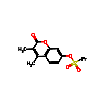 Cc1c(C)c2ccc(OS(=O)(=O)C(C)C)cc2oc1=O